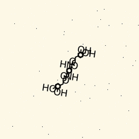 O=C(Nc1ccc(NC(=O)OCCc2ccc(O)c(O)c2)cc1)OCCc1ccc(O)c(O)c1